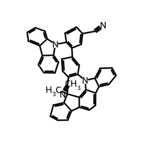 CC1(C)c2ccccc2-c2ccc3c4ccccc4n(-c4cc(-c5cc(C#N)ccc5-n5c6ccccc6c6ccccc65)ccc4C#N)c3c21